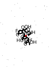 CC(O)[C@H]1C(=O)N2C(C(=O)O)=C(CN3CCNCC3c3c(C(=O)O)c(=O)c4c(n3C3CC3)CC(=O)C(F)=C4)[C@H](C)[C@H]12